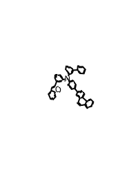 c1ccc(-c2cccc(N(c3ccc(-c4ccc5c(ccc6ccccc65)c4)cc3)c3cccc(-c4cc5ccccc5o4)c3)c2)cc1